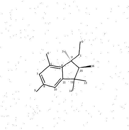 CC[C@]1(C)c2c(C)cc(C)cc2C(C)(C)[C@@H]1C